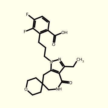 CCc1nn(CCCc2c(C(=O)O)ccc(F)c2F)c2c1C(=O)NCC1(CCOCC1)C2